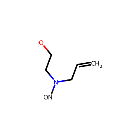 C=CCN(CC[O])N=O